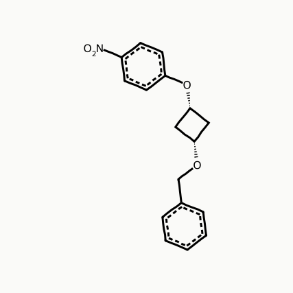 O=[N+]([O-])c1ccc(O[C@H]2C[C@@H](OCc3ccccc3)C2)cc1